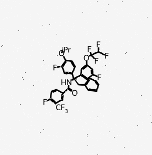 CC(C)Oc1ccc([C@@](Cc2ccccc2)(NC(=O)c2ccc(F)c(C(F)(F)F)c2)c2cc(F)cc(OC(F)(F)C(F)F)c2)cc1F